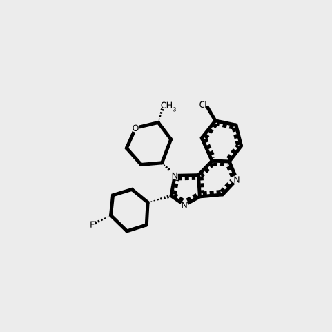 C[C@@H]1C[C@H](n2c3c(cnc4ccc(Cl)cc43)nc2[C@H]2CC[C@@H](F)CC2)CCO1